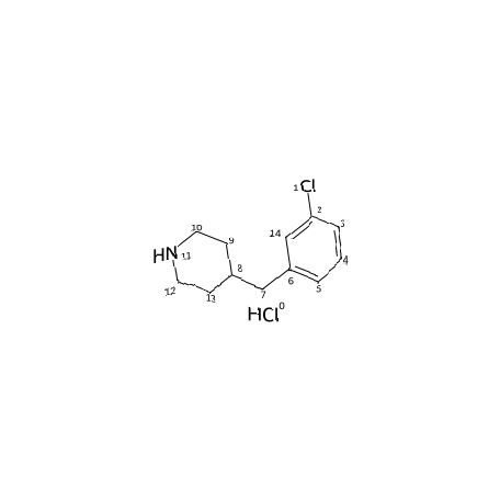 Cl.Clc1cccc(CC2CCNCC2)c1